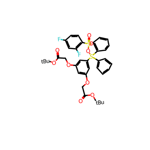 CC(C)(C)OC(=O)COc1cc(OCC(=O)OC(C)(C)C)cc(S(OS(=O)(=O)c2ccc(F)cc2F)(c2ccccc2)c2ccccc2)c1